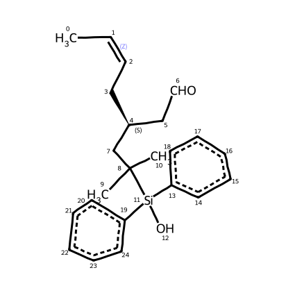 C/C=C\C[C@@H](CC=O)CC(C)(C)[Si](O)(c1ccccc1)c1ccccc1